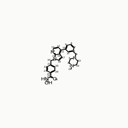 CN1CCN(Cc2cccc(-c3ccnc4c3ccn4Cc3ccc(C(=O)NO)cc3)c2)CC1